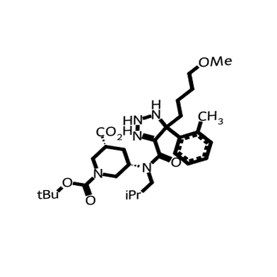 COCCCCC1(c2ccccc2C)NNN=C1C(=O)N(CC(C)C)[C@H]1C[C@@H](C(=O)O)CN(C(=O)OC(C)(C)C)C1